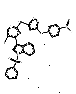 O=[N+]([O-])c1ccc(Cc2cc(Nc3ncc(Cl)c(-c4cn(S(=O)(=O)c5ccccc5)c5ccccc45)n3)[nH]n2)cc1